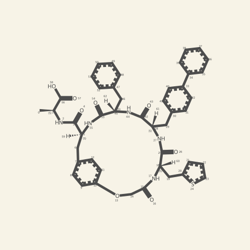 C[C@H](NC(=O)[C@@H]1Cc2ccc(cc2)OCC(=O)N[C@@H](Cc2cccs2)C(=O)N[C@@H](Cc2ccc(-c3ccccc3)cc2)C(=O)N[C@@H](Cc2ccccc2)C(=O)N1)C(=O)O